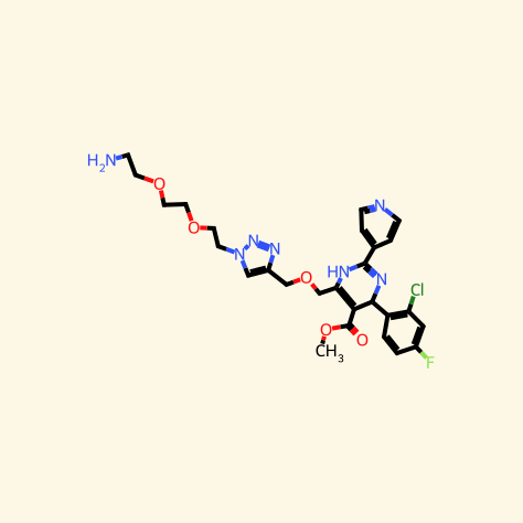 COC(=O)C1=C(COCc2cn(CCOCCOCCN)nn2)NC(c2ccncc2)=NC1c1ccc(F)cc1Cl